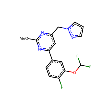 COc1nc(Cn2cccn2)cc(-c2ccc(F)c(OC(F)F)c2)n1